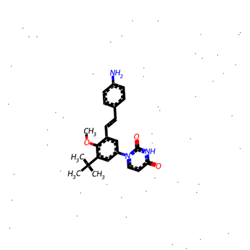 COc1c(C=Cc2ccc(N)cc2)cc(-n2ccc(=O)[nH]c2=O)cc1C(C)(C)C